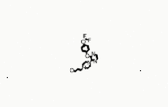 O=CC=CN1CCN(c2nccnc2Oc2ccc(OC(F)F)cc2)CC1